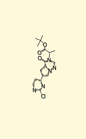 CC(C(=O)OC(C)(C)C)n1cnn2cc(-c3ccnc(Cl)n3)cc2c1=O